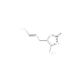 CCCCCc1[nH]c(=O)sc1CC=CN